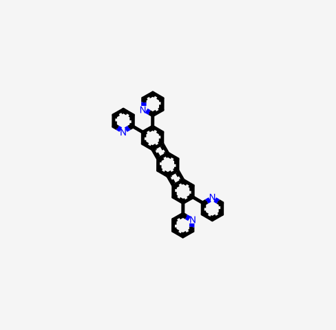 c1ccc(-c2cc3c(cc2-c2ccccn2)c2cc4c5cc(-c6ccccn6)c(-c6ccccn6)cc5c4cc32)nc1